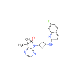 CC1(C)C(=O)N(C2CC(Nc3ccc4ccc(F)cc4n3)C2)c2nccnc21